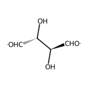 O=[C][C@@H](O)[C@@H](O)[C]=O